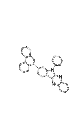 c1ccc(-n2c3cc(-c4cc5ccccc5c5ccccc45)ccc3c3nc4ccccc4nc32)cc1